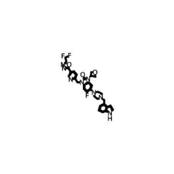 O=c1n(Cc2ccc(-c3nnc(C(F)F)o3)cn2)c2cc(F)c(N3CCN(Cc4cccc5[nH]ccc45)CC3)cc2n1C1COC1